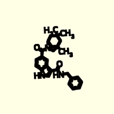 CC1(C)CC2CC(C)(CN2C(=O)c2ccc3[nH]cc(C(=O)NCc4ccccc4)c3c2)C1